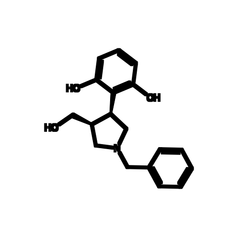 OC[C@@H]1CN(Cc2ccccc2)C[C@@H]1c1c(O)cccc1O